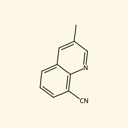 Cc1cnc2c(C#N)cccc2c1